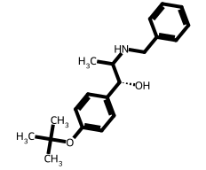 CC(NCc1ccccc1)[C@H](O)c1ccc(OC(C)(C)C)cc1